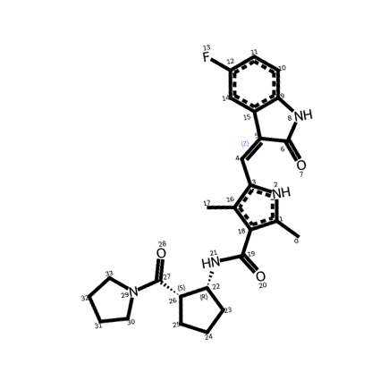 Cc1[nH]c(/C=C2\C(=O)Nc3ccc(F)cc32)c(C)c1C(=O)N[C@@H]1CCC[C@@H]1C(=O)N1CCCC1